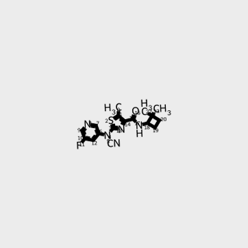 Cc1sc(N(C#N)c2cncc(F)c2)nc1C(=O)NC1CCC1(C)C